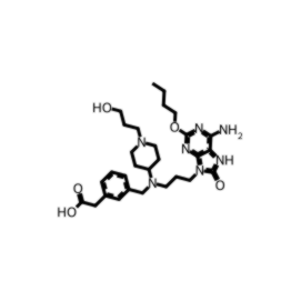 CCCCOc1nc(N)c2[nH]c(=O)n(CCCN(Cc3cccc(CC(=O)O)c3)C3CCN(CCCO)CC3)c2n1